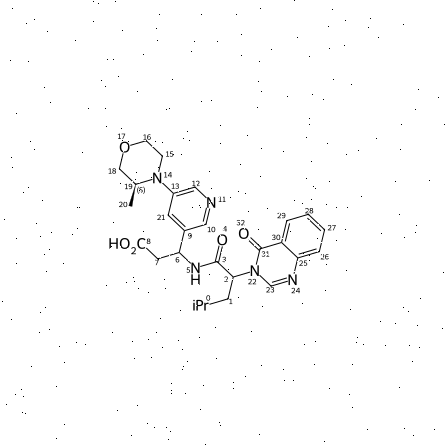 CC(C)CC(C(=O)NC(CC(=O)O)c1cncc(N2CCOC[C@@H]2C)c1)n1cnc2ccccc2c1=O